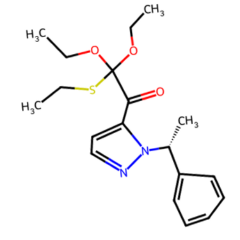 CCOC(OCC)(SCC)C(=O)c1ccnn1[C@H](C)c1ccccc1